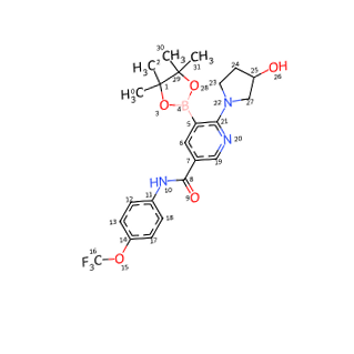 CC1(C)OB(c2cc(C(=O)Nc3ccc(OC(F)(F)F)cc3)cnc2N2CCC(O)C2)OC1(C)C